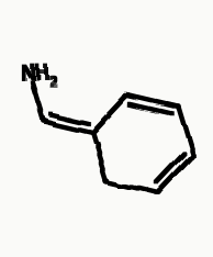 NC=C1C=CC=CC1